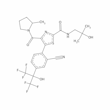 CC1CCCN1C(=O)c1nc(C(=O)NCC(C)(C)O)sc1-c1ccc(C(O)(C(F)(F)F)C(F)(F)F)cc1C#N